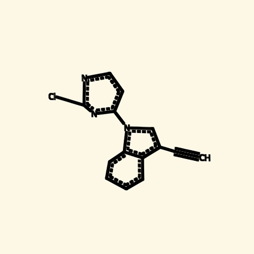 C#Cc1cn(-c2ccnc(Cl)n2)c2ccccc12